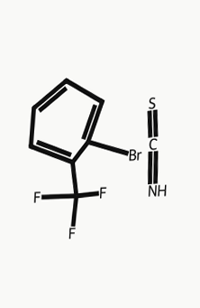 FC(F)(F)c1ccccc1Br.N=C=S